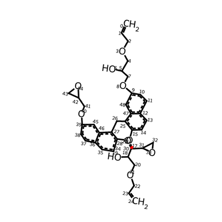 C=CCOCC(O)COc1ccc2ccc(OCC(O)COCC=C)c(Cc3c(OCC4CO4)ccc4ccc(OCC5CO5)cc34)c2c1